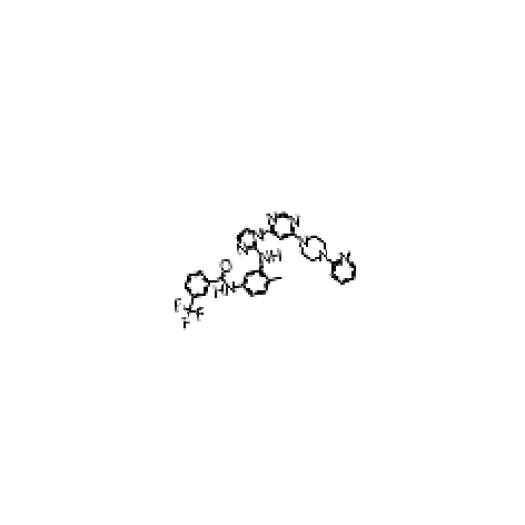 Cc1ccc(NC(=O)c2cccc(C(F)(F)F)c2)cc1Nc1nccn1-c1cc(N2CCN(c3ccccn3)CC2)ncn1